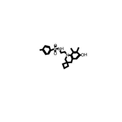 Cc1ccc(S(=O)(=O)NCCN2CC3(CCC3)Cc3cc(O)c(C)c(C)c32)cc1